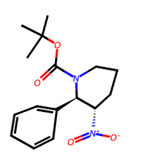 CC(C)(C)OC(=O)N1CCC[C@H]([N+](=O)[O-])[C@H]1c1ccccc1